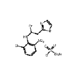 CCC(CC1=[N+]C=CN1)Nc1c(Cl)cccc1[N+](=O)[O-].COS(=O)(=O)[O-]